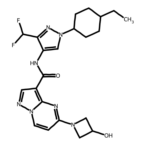 CCC1CCC(n2cc(NC(=O)c3cnn4ccc(N5CC(O)C5)nc34)c(C(F)F)n2)CC1